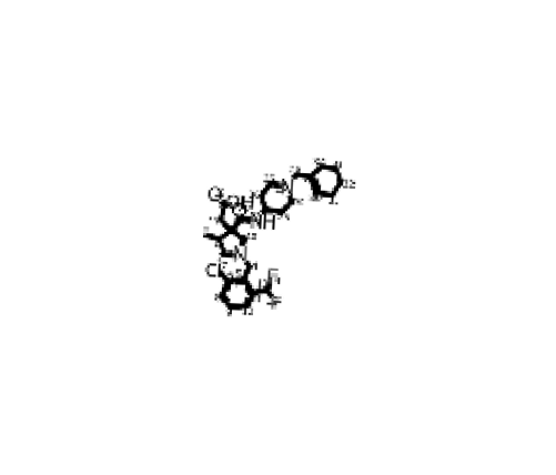 CC1CN(Cc2c(Cl)cccc2C(F)F)CC1(CC(=O)O)C(=O)NC1CCN(CC2=CCCCC2)CC1